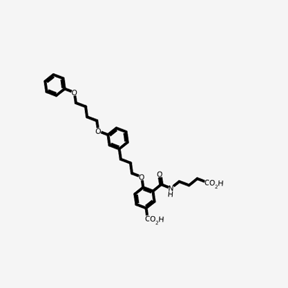 O=C(O)CCCNC(=O)c1cc(C(=O)O)ccc1OCCCc1cccc(OCCCCOc2ccccc2)c1